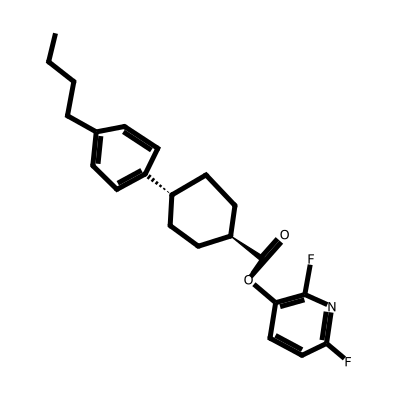 CCCCc1ccc([C@H]2CC[C@H](C(=O)Oc3ccc(F)nc3F)CC2)cc1